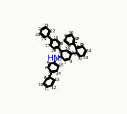 C1=CC(Nc2ccc(-c3ccccc3)cc2)C(c2ccc(-c3ccccc3)cc2)C=C1c1ccccc1-c1ccccc1